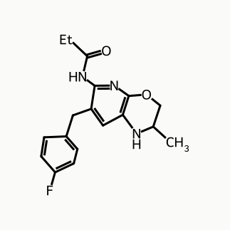 CCC(=O)Nc1nc2c(cc1Cc1ccc(F)cc1)NC(C)CO2